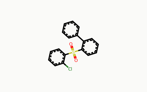 O=S(=O)(c1ccccc1Cl)c1ccccc1-c1ccccc1